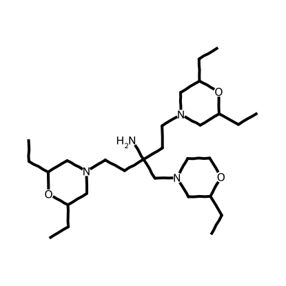 CCC1CN(CC(N)(CCN2CC(CC)OC(CC)C2)CCN2CC(CC)OC(CC)C2)CCO1